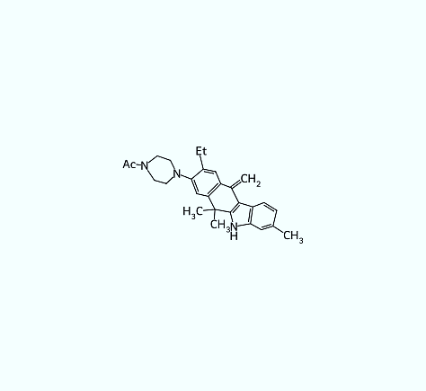 C=C1c2cc(CC)c(N3CCN(C(C)=O)CC3)cc2C(C)(C)c2[nH]c3cc(C)ccc3c21